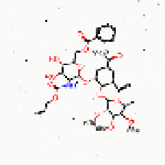 C=CCOC(=O)NC1C(O)[C@@H](O)C(COC(=O)c2ccccc2)O[C@H]1O[C@@H]1CC(C(=O)OC)CC(C=C)C1OC1O[C@@H](C)C(OCCCC)C(OCCCC)[C@@H]1OCCCC